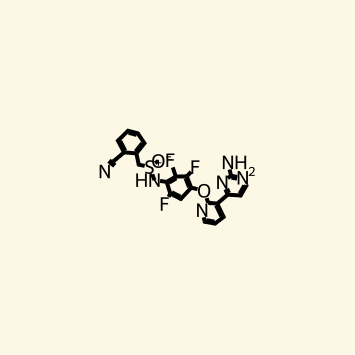 N#Cc1ccccc1C[S+]([O-])Nc1c(F)cc(Oc2ncccc2-c2ccnc(N)n2)c(F)c1F